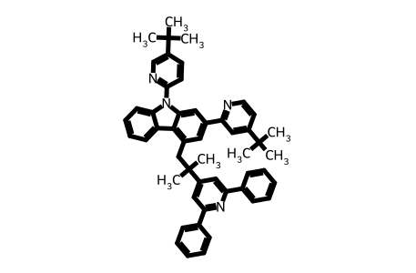 CC(C)(C)c1ccc(-n2c3ccccc3c3c(CC(C)(C)c4cc(-c5ccccc5)nc(-c5ccccc5)c4)cc(-c4cc(C(C)(C)C)ccn4)cc32)nc1